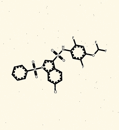 O=S(=O)(Nc1cc(F)c(OC(F)F)cc1F)c1cn(S(=O)(=O)c2ccccc2)c2cc(Cl)ccc12